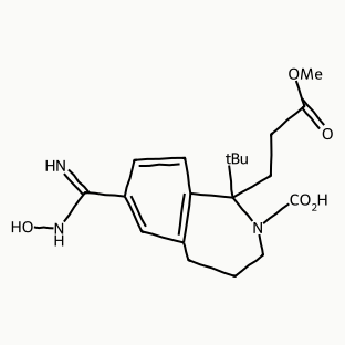 COC(=O)CCC1(C(C)(C)C)c2ccc(C(=N)NO)cc2CCCN1C(=O)O